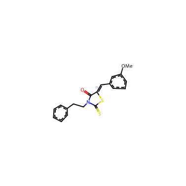 COc1cccc(/C=C2\SC(=S)N(CCc3ccccc3)C2=O)c1